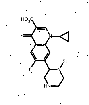 CCN1CCNCC1c1cc2c(cc1F)c(=S)c(C(=O)O)cn2C1CC1